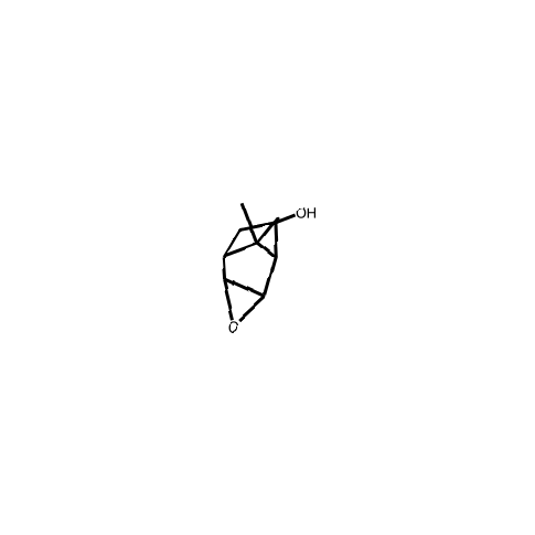 CC1(C)C2CC(O)C1C1OC12